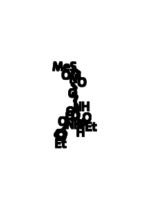 CCC(=O)NC(CC(=O)NCCOCCN1C(=O)CC(SC)C1=O)C(=O)NC(=O)c1ccc(CC)cc1